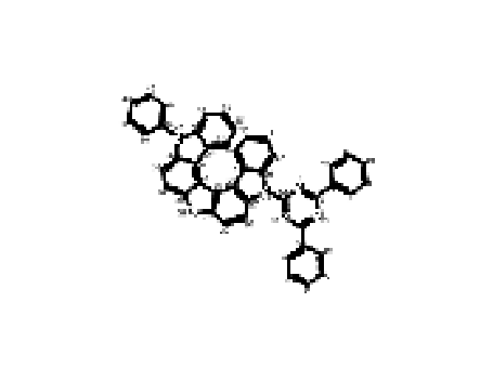 c1ccc(-c2nc(-c3ccccc3)nc(-n3c4ccccc4c4c5c(ccc43)sc3ccc4c(c6ccccc6n4-c4ccccc4)c35)n2)cc1